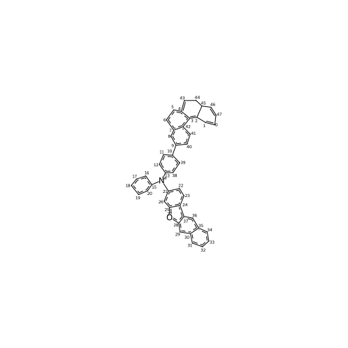 C1=CC2=c3c(ccc4cc(-c5ccc(N(c6ccccc6)c6ccc7c(c6)oc6cc8ccccc8cc67)cc5)ccc34)=CCC2C=C1